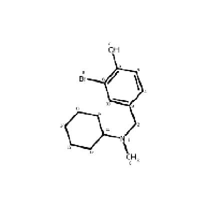 CN(Cc1ccc(O)c(Br)c1)C1CCCCC1